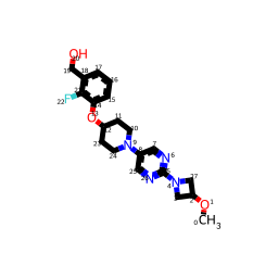 COC1CN(c2ncc(N3CCC(Oc4cccc(CO)c4F)CC3)cn2)C1